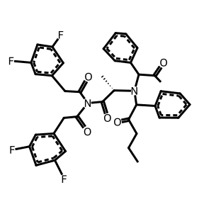 CCCC(=O)C(c1ccccc1)N(C(C(C)=O)c1ccccc1)[C@@H](C)C(=O)N(C(=O)Cc1cc(F)cc(F)c1)C(=O)Cc1cc(F)cc(F)c1